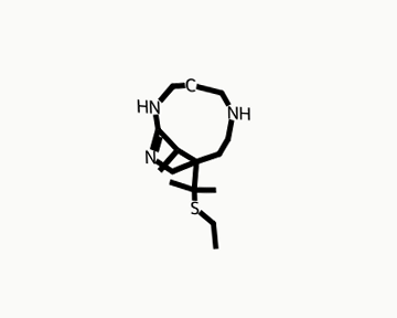 CCSC(C)(C)C12CCNCCCNC(=NC1)C2C